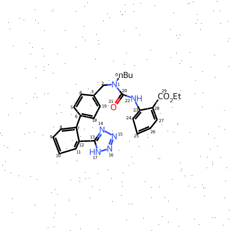 CCCCN(Cc1ccc(-c2ccccc2-c2nnn[nH]2)cc1)C(=O)Nc1ccccc1C(=O)OCC